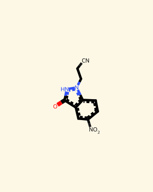 N#CCCn1[nH]c(=O)c2cc([N+](=O)[O-])ccc21